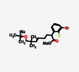 COC(=O)C(CCCCC(C)(C)CO[Si](C)(C)C(C)(C)C)c1cccc(Br)c1F